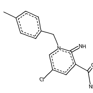 Cc1ccc(Cn2cc(Cl)cc(C(N)=O)c2=N)cc1